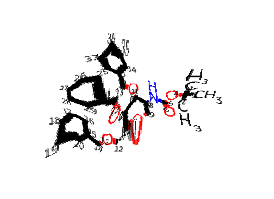 CC(C)(C)OC(=O)N[C@@H]1CO[C@H](COCc2ccccc2)[C@H](OCc2ccccc2)[C@@H]1OCc1ccccc1